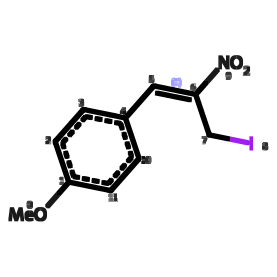 COc1ccc(/C=C(\CI)[N+](=O)[O-])cc1